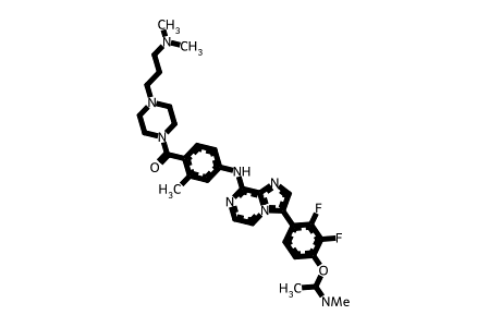 CNC(C)Oc1ccc(-c2cnc3c(Nc4ccc(C(=O)N5CCN(CCCN(C)C)CC5)c(C)c4)nccn23)c(F)c1F